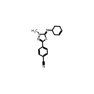 Cn1nc(-c2ccc(C#N)cc2)sc1=NC1CC=CCC1